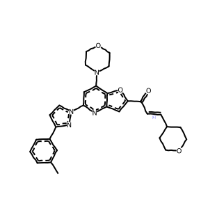 Cc1cccc(-c2ccn(-c3cc(N4CCOCC4)c4oc(C(=O)/C=C/C5CCOCC5)cc4n3)n2)c1